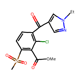 CCn1[c]c(C(=O)c2ccc(S(C)(=O)=O)c(C(=O)OC)c2Cl)cn1